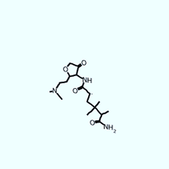 CC(C(N)=O)C(C)(C)C[CH]C(=O)NC1C(=O)COC1CCN(C)C